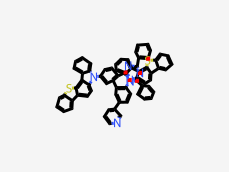 c1ccc(-c2nc(-c3ccccc3)nc(-c3ccc(-n4c5ccccc5c5c6sc7ccccc7c6ccc54)cc3-c3cc(-c4cccnc4)ccc3-n3c4ccccc4c4c5sc6ccccc6c5ccc43)n2)cc1